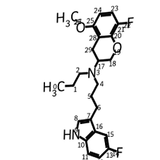 CCCN(CCCc1c[nH]c2ccc(F)cc12)C1COc2c(F)ccc(OC)c2C1